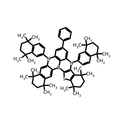 CC1(C)CCC(C)(C)c2cc(N3c4cc5c(cc4B4c6sc7c(c6N(c6ccc8c(c6)C(C)(C)CCC8(C)C)c6cc(-c8ccccc8)cc3c64)C(C)(C)CCC7(C)C)C(C)(C)CCC5(C)C)ccc21